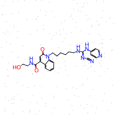 N#CN=C(NCCCCCCn1c(=O)cc(C(=O)NCCO)c2ccccc21)Nc1ccncc1